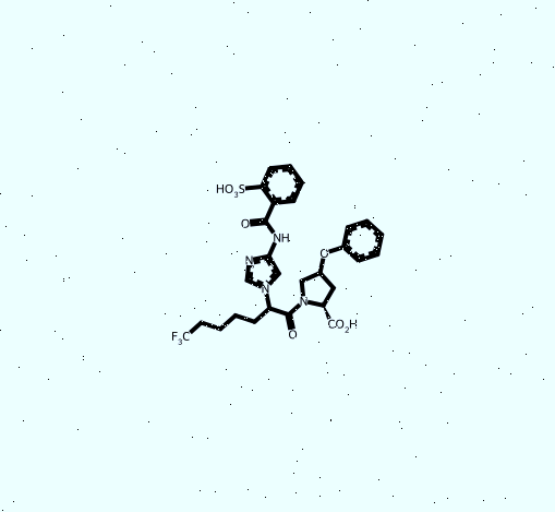 O=C(Nc1cn(C(CCCCC(F)(F)F)C(=O)N2CC(Oc3ccccc3)C[C@H]2C(=O)O)cn1)c1ccccc1S(=O)(=O)O